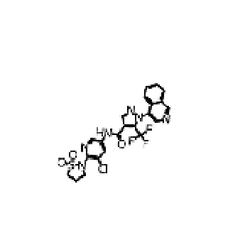 O=C(Nc1cnc(N2CCCS2(=O)=O)c(Cl)c1)c1cnn(-c2cncc3ccccc23)c1C(F)(F)F